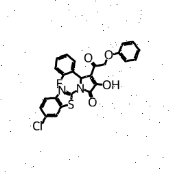 O=C(COc1ccccc1)C1=C(O)C(=O)N(c2nc3ccc(Cl)cc3s2)C1c1ccccc1F